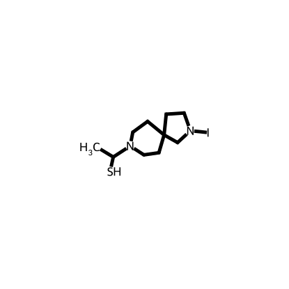 CC(S)N1CCC2(CCN(I)C2)CC1